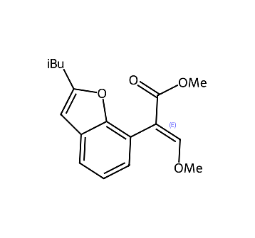 CCC(C)c1cc2cccc(/C(=C\OC)C(=O)OC)c2o1